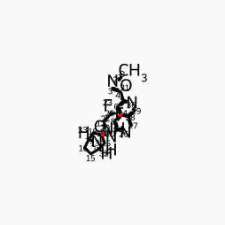 Cc1ncc(-c2cc3cc(NC(=O)N4[C@@H]5CC[C@H]4CC(NCC(F)F)C5)ncc3cn2)o1